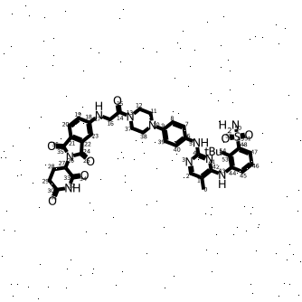 Cc1cnc(Nc2ccc(N3CCN(C(=O)CNc4ccc5c(c4)C(=O)N(C4CCC(=O)NC4=O)C5=O)CC3)cc2)nc1Nc1cccc(S(N)(=O)=O)c1C(C)(C)C